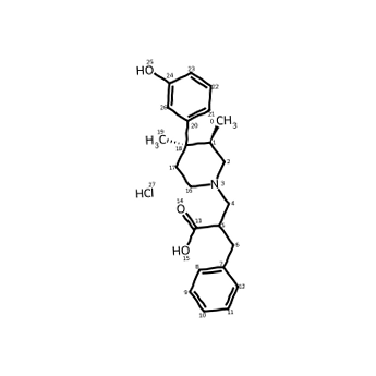 C[C@H]1CN(CC(Cc2ccccc2)C(=O)O)CC[C@@]1(C)c1cccc(O)c1.Cl